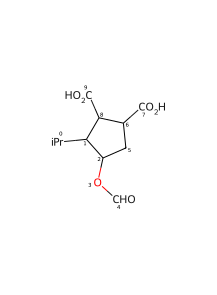 CC(C)C1C(OC=O)CC(C(=O)O)C1C(=O)O